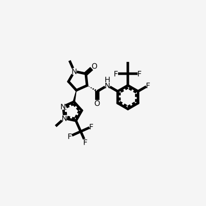 CN1C[C@H](c2cc(C(F)(F)F)n(C)n2)[C@@H](C(=O)Nc2cccc(F)c2C(C)(F)F)C1=O